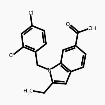 CCc1cc2ccc(C(=O)O)cc2n1Cc1ccc(Cl)cc1Cl